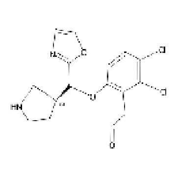 O=CCc1c(OC(c2ncco2)[C@H]2CCNC2)ccc(Cl)c1Cl